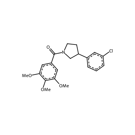 COc1cc(C(=O)N2CCC(c3cccc(Cl)c3)C2)cc(OC)c1OC